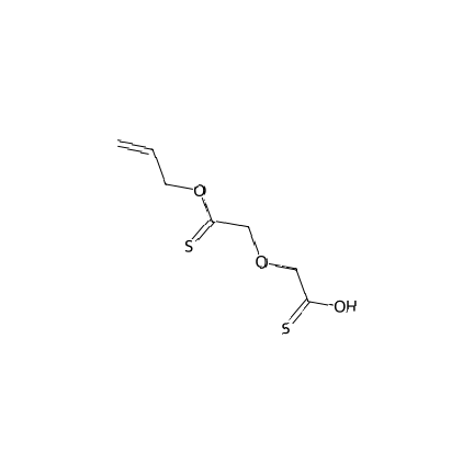 C=CCOC(=S)COCC(O)=S